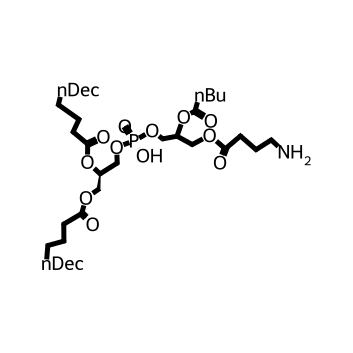 CCCCCCCCCCCCCC(=O)OC[C@H](COP(=O)(O)OCC(COC(=O)CCCN)OC(=O)CCCC)OC(=O)CCCCCCCCCCCCC